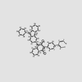 C/C=C\C(=C/C)c1ccc(-n2c(=O)c3ccccc3n(-c3ccc4c(c3)c3ccccc3n4-c3ccccc3)c2=O)cc1